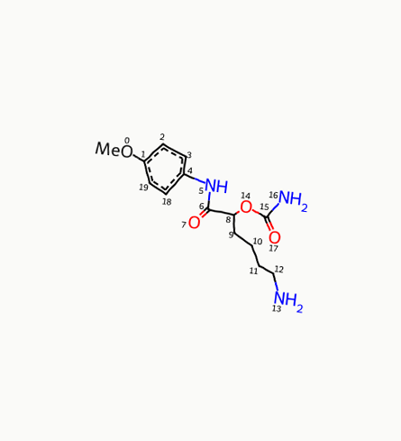 COc1ccc(NC(=O)C(CCCCN)OC(N)=O)cc1